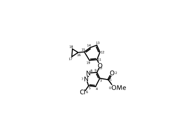 COC(=O)c1cc(Cl)nnc1Oc1cccc(C2CC2)c1